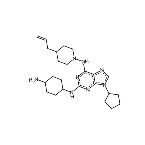 C=CCC1CCN(Nc2nc(NC3CCC(N)CC3)nc3c2ncn3C2CCCC2)CC1